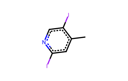 Cc1cc(I)ncc1I